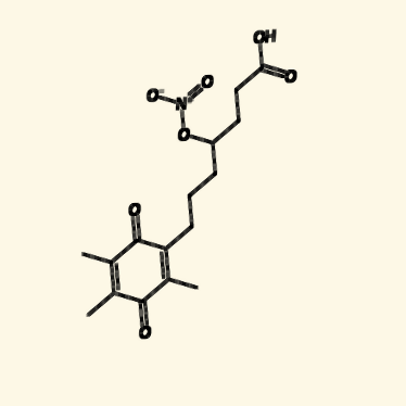 CC1=C(C)C(=O)C(CCCC(CCC(=O)O)O[N+](=O)[O-])=C(C)C1=O